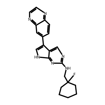 FC1(CNc2ncc3c(-c4ccc5nccnc5c4)c[nH]c3n2)CCCCC1